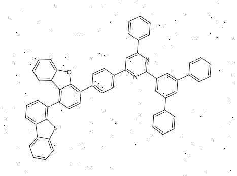 c1ccc(-c2cc(-c3ccccc3)cc(-c3nc(-c4ccccc4)cc(-c4ccc(-c5ccc(-c6cccc7c6sc6ccccc67)c6c5oc5ccccc56)cc4)n3)c2)cc1